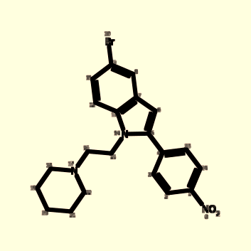 O=[N+]([O-])c1ccc(-c2cc3cc(Br)ccc3n2CCN2CCCCC2)cc1